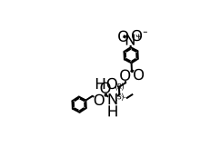 CC[C@H](NC(=O)OCc1ccccc1)[C@@H](O)COC(=O)c1ccc([N+](=O)[O-])cc1